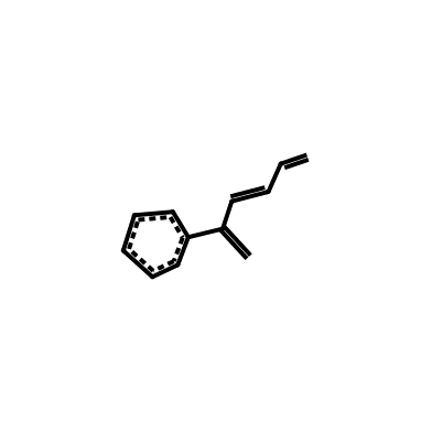 C=CC=CC(=C)c1ccccc1